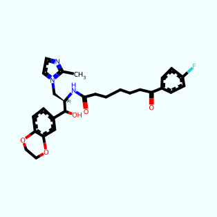 Cc1nccn1C[C@@H](NC(=O)CCCCCC(=O)c1ccc(F)cc1)C(O)c1ccc2c(c1)OCCO2